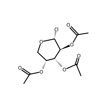 CC(=O)O[C@H]1[C@H](OC(C)=O)[C@H](OC(C)=O)CO[C@@H]1Cl